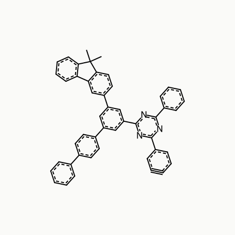 CC1(C)c2ccccc2-c2cc(-c3cc(-c4ccc(-c5ccccc5)cc4)cc(-c4nc(-c5cc#ccc5)nc(-c5ccccc5)n4)c3)ccc21